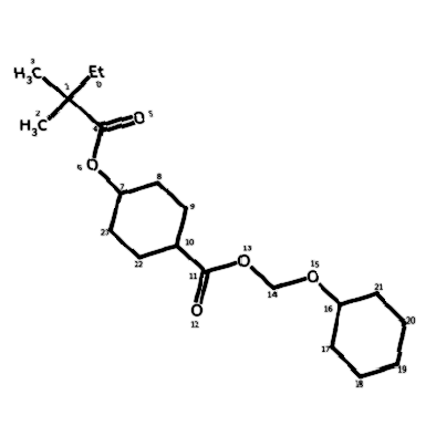 CCC(C)(C)C(=O)OC1CCC(C(=O)OCOC2CCCCC2)CC1